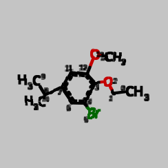 CCOc1c(Br)cc(C(C)C)cc1OC